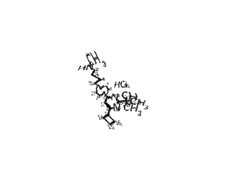 CNCCCCN1CCN(c2cc(C3CCC3)nc(C(C)(C)C)n2)CC1.Cl